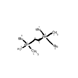 CC(C)(C)[PH](C)(C)CC[PH](C)(C(C)(C)C)C(C)(C)C